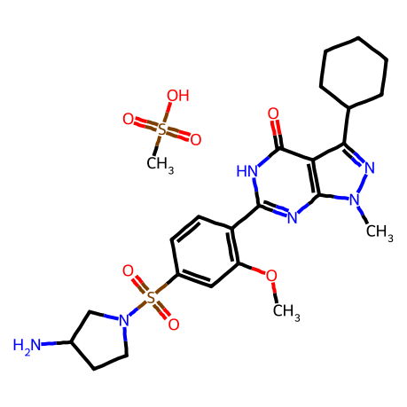 COc1cc(S(=O)(=O)N2CCC(N)C2)ccc1-c1nc2c(c(C3CCCCC3)nn2C)c(=O)[nH]1.CS(=O)(=O)O